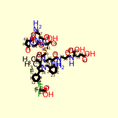 CC(C)(C)[C@H](c1cc(-c2cc(F)ccc2F)cn1Cc1ccccc1)N(CC[C@H](N)C(=O)NCCC(=O)N[C@H](CCC(=O)O)C(=O)O)C(=O)CSC[C@H](NC(=O)[C@H](CC(N)=O)NC(=O)CN1C(=O)C=CC1=O)C(=O)O.O=C(O)C(F)(F)F